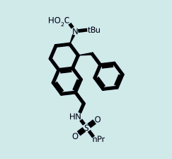 CCCS(=O)(=O)NCc1ccc2c(c1)[C@H](Cc1ccccc1)[C@H](N(C(=O)O)C(C)(C)C)CC2